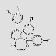 Fc1ccc(-c2ccc3c(c2)C(c2ccc(Cl)cc2)(c2ccc(Cl)cc2)OC=CN3)cc1Cl